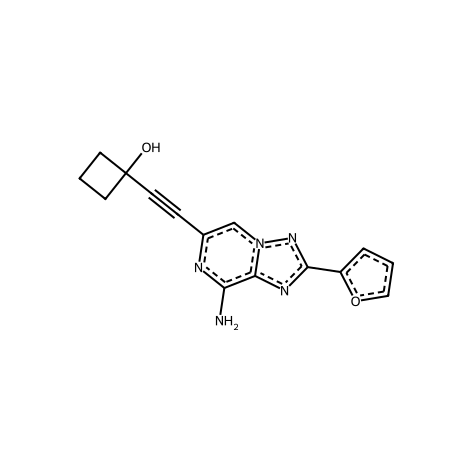 Nc1nc(C#CC2(O)CCC2)cn2nc(-c3ccco3)nc12